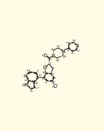 O=C([C@H]1Cc2cc(Cl)cc(-c3ccnc4[nH]ccc34)c2O1)N1CCN(c2ccncc2)CC1